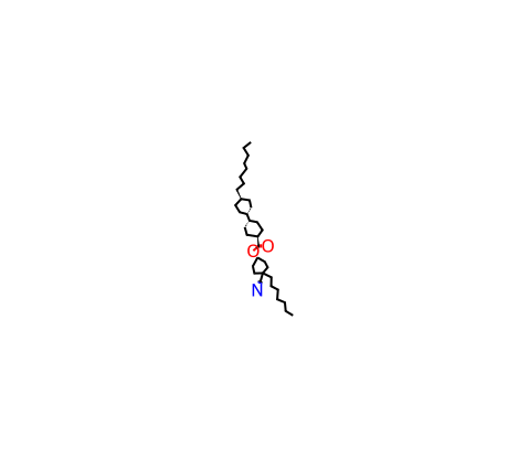 CCCCCCCC[C@H]1CC[C@H]([C@H]2CC[C@H](C(=O)OC3CCC(C#N)(CCCCCCC)CC3)CC2)CC1